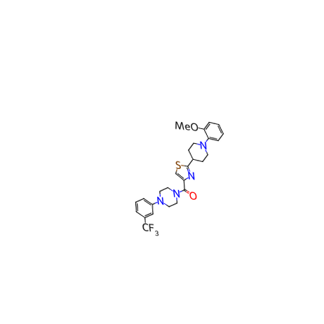 COc1ccccc1N1CCC(c2nc(C(=O)N3CCN(c4cccc(C(F)(F)F)c4)CC3)cs2)CC1